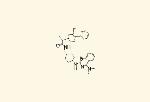 CC(C(=O)NC[C@H]1CC[C@@H](Nc2nc(N(C)C)c3ccccc3n2)CC1)c1ccc(-c2ccccc2)c(F)c1